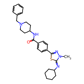 Cn1nc(-c2ccc(C(=O)NC3CCN(Cc4ccccc4)CC3)cc2)sc1=NC1CCCCC1